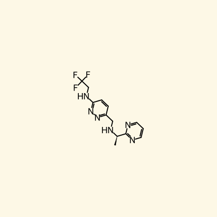 C[C@@H](NCc1ccc(NCC(F)(F)F)nn1)c1ncccn1